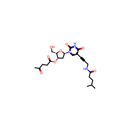 CC(=O)CCC(=O)O[C@@H]1C[C@H](n2cc(C#CCNC(=O)CCC(C)C)c(=O)[nH]c2=O)O[C@@H]1CO